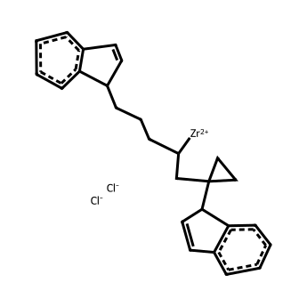 [Cl-].[Cl-].[Zr+2][CH](CCCC1C=Cc2ccccc21)CC1(C2C=Cc3ccccc32)CC1